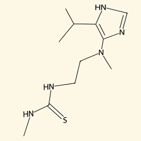 CNC(=S)NCCN(C)c1nc[nH]c1C(C)C